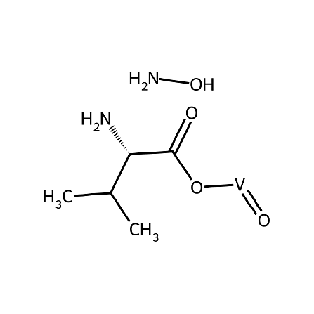 CC(C)[C@H](N)C(=O)[O][V]=[O].NO